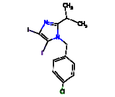 CC(C)c1nc(I)c(I)n1Cc1ccc(Cl)cc1